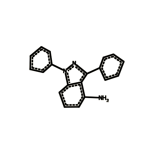 Nc1cccc2c1c(-c1ccccc1)nn2-c1ccccc1